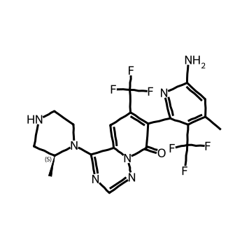 Cc1cc(N)nc(-c2c(C(F)(F)F)cc3c(N4CCNC[C@@H]4C)ncnn3c2=O)c1C(F)(F)F